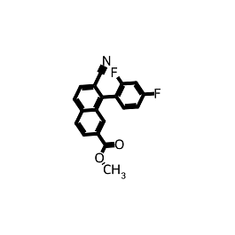 COC(=O)c1ccc2ccc(C#N)c(-c3ccc(F)cc3F)c2c1